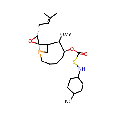 COC1C(OC(=O)SNC2CCC(C#N)CC2)CCCCP2CC1[C@]21O[C@@H]1CC=C(C)C